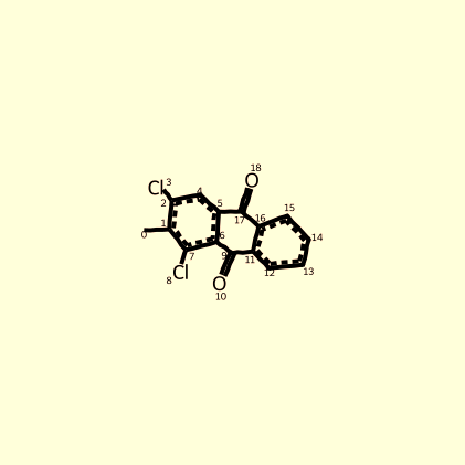 Cc1c(Cl)cc2c(c1Cl)C(=O)c1ccccc1C2=O